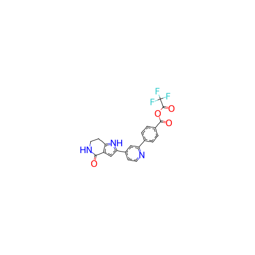 O=C(OC(=O)C(F)(F)F)c1ccc(-c2cc(-c3cc4c([nH]3)CCNC4=O)ccn2)cc1